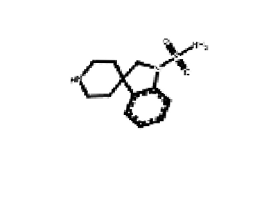 NS(=O)(=O)N1CC2(CCNCC2)c2ccccc21